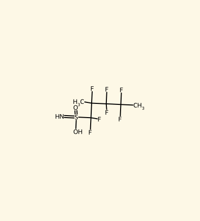 CC(F)(F)C(F)(F)C(C)(F)C(F)(F)S(=N)(=O)O